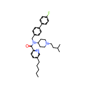 CCCCCc1ccc(C(=O)N(Cc2ccc(-c3ccc(F)cc3)cc2)C2CCN(CCC(C)C)CC2)nc1